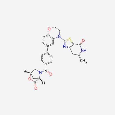 C=C1Cc2nc(N3CCOc4ccc(-c5ccc(C(=O)N6C[C@@H]7C[C@H]6C(=O)O7)cc5)cc43)sc2C(=O)N1